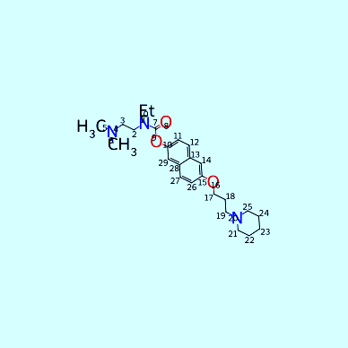 CCN(CCN(C)C)C(=O)Oc1ccc2cc(OCCCN3CCCCC3)ccc2c1